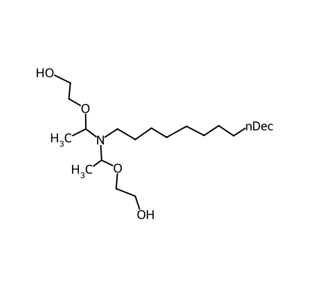 CCCCCCCCCCCCCCCCCCN(C(C)OCCO)C(C)OCCO